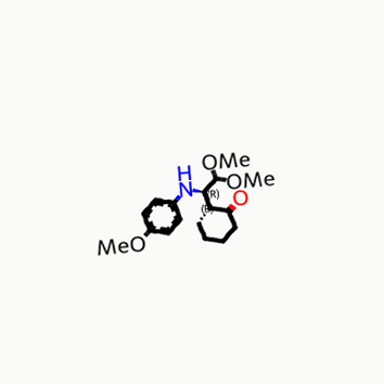 COc1ccc(N[C@@H](C(OC)OC)[C@H]2CCCCC2=O)cc1